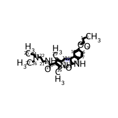 CCC(=O)Oc1ccc2c(c1)/C(=C/c1[nH]c(C)c(C(=O)NCCN(CC)CC)c1C)C(=O)N2